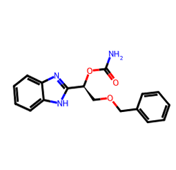 NC(=O)O[C@@H](COCc1ccccc1)c1nc2ccccc2[nH]1